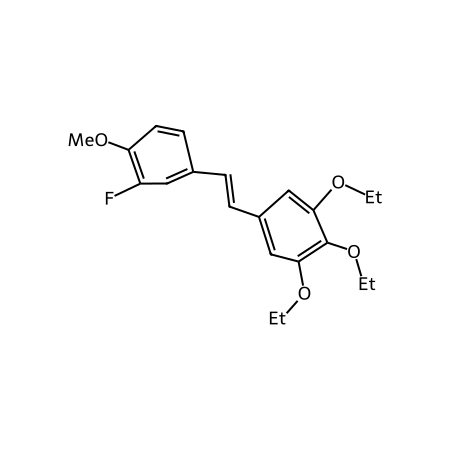 CCOc1cc(/C=C/c2ccc(OC)c(F)c2)cc(OCC)c1OCC